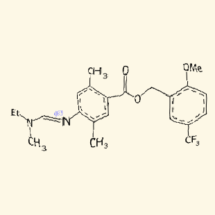 CCN(C)/C=N/c1cc(C)c(C(=O)OCc2cc(C(F)(F)F)ccc2OC)cc1C